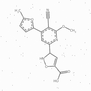 COc1nc(C2C=C(C(=O)O)ON2)cc(-c2ccc(C)o2)c1C#N